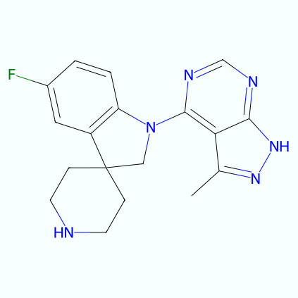 Cc1n[nH]c2ncnc(N3CC4(CCNCC4)c4cc(F)ccc43)c12